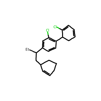 CCC(CC1C=CCCC1)c1ccc(C2CC=CC=C2Cl)c(Cl)c1